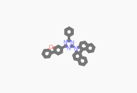 c1ccc(-c2nc(-c3ccc4c(c3)oc3ccccc34)nc(-n3c4ccc5ccccc5c4c4c5ccccc5ccc43)n2)cc1